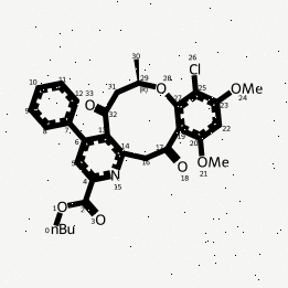 CCCCOC(=O)c1cc(-c2ccccc2)c2c(n1)CC(=O)c1c(OC)cc(OC)c(Cl)c1O[C@H](C)CC2=O